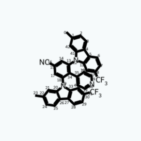 Cc1ccc2c3ccc(C(F)(F)F)cc3n(-c3cc(C#N)cc(-n4c5cc(C)ccc5c5ccc(C(F)(F)F)cc54)c3-c3ccncc3)c2c1